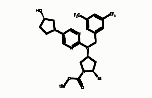 CC[C@@H]1C[C@H](N(Cc2cc(C(F)(F)F)cc(C(F)(F)F)c2)c2ncc(N3CC[C@H](O)C3)cn2)CN1C(=O)OC(C)(C)C